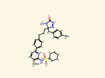 CCN1C(=O)N=NC1(CCCc1ccc(-c2ccc(OC)c(NS(=O)(=O)C3CCCCC3)n2)cc1)Cc1ccc(C(C)(C)C)cc1